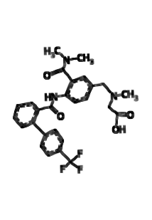 CN(CC(=O)O)Cc1ccc(NC(=O)c2ccccc2-c2ccc(C(F)(F)F)cc2)c(C(=O)N(C)C)c1